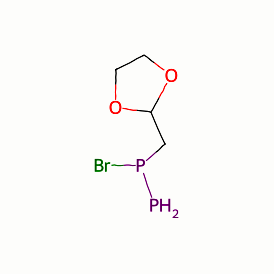 PP(Br)CC1OCCO1